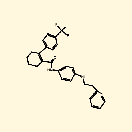 O=C(Nc1ccc(NCCc2ccccn2)cc1)C1=C(c2ccc(C(F)(F)F)cc2)CCCC1